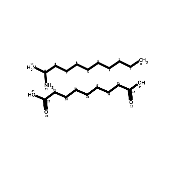 CCCCCCCCCC(N)N.O=C(O)CCCCCCCC(=O)O